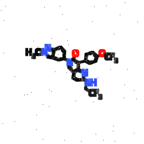 Cn1cc2cc(-n3cc4ccc(NCC(F)(F)F)nc4c(-c4ccc(OC(F)(F)F)cc4)c3=O)ccc2n1